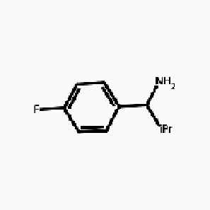 CC(C)C(N)c1ccc(F)cc1